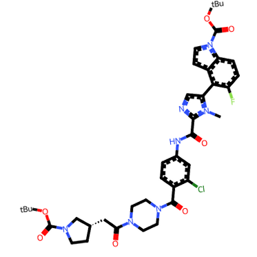 Cn1c(-c2c(F)ccc3c2ccn3C(=O)OC(C)(C)C)cnc1C(=O)Nc1ccc(C(=O)N2CCN(C(=O)C[C@@H]3CCN(C(=O)OC(C)(C)C)C3)CC2)c(Cl)c1